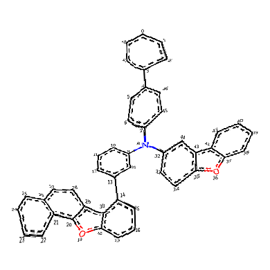 c1ccc(-c2ccc(N(c3cccc(-c4cccc5oc6c7ccccc7ccc6c45)c3)c3ccc4oc5ccccc5c4c3)cc2)cc1